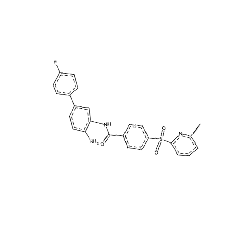 Cc1cccc(S(=O)(=O)c2ccc(C(=O)Nc3cc(-c4ccc(F)cc4)ccc3N)cc2)n1